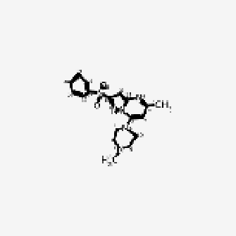 Cc1cc(N2CCN(C)CC2)n2nc(S(=O)(=O)c3ccccc3)cc2n1